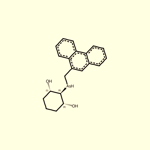 O[C@@H]1CCC[C@H](O)[C@H]1[AsH]Cc1cc2ccccc2c2ccccc12